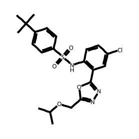 CC(C)OCc1nnc(-c2cc(Cl)ccc2NS(=O)(=O)c2ccc(C(C)(C)C)cc2)o1